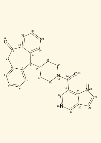 O=C1Cc2ccccc2C(C2CCN(C(=O)c3cncc4cc[nH]c34)CC2)c2ccccc21